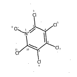 [O-][n+]1c(Cl)c(Cl)c(Cl)c(Cl)c1Cl